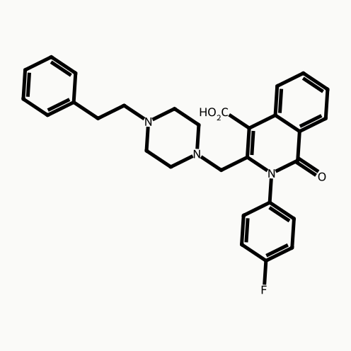 O=C(O)c1c(CN2CCN(CCc3ccccc3)CC2)n(-c2ccc(F)cc2)c(=O)c2ccccc12